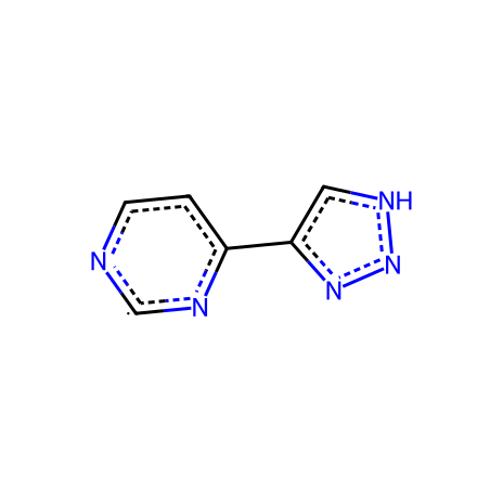 [c]1nccc(-c2c[nH]nn2)n1